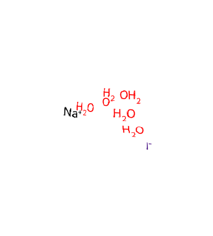 O.O.O.O.O.[I-].[Na+]